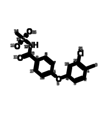 Cc1ccc(Oc2ccc(C(=O)NS(C)(=O)=O)cc2)cc1Cl